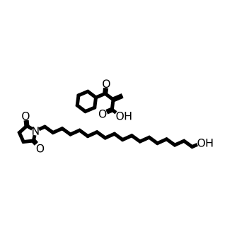 C=C(C(=O)O)C(=O)C1CCCCC1.O=C1CCC(=O)N1CCCCCCCCCCCCCCCCCCO